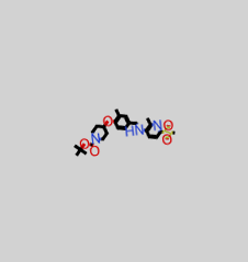 Cc1cc(CNc2ccc(S(C)(=O)=O)nc2C)ccc1OC1CCN(C(=O)OC(C)(C)C)CC1